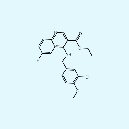 CCOC(=O)c1cnc2ccc(F)cc2c1NCc1ccc(OC)c(Cl)c1